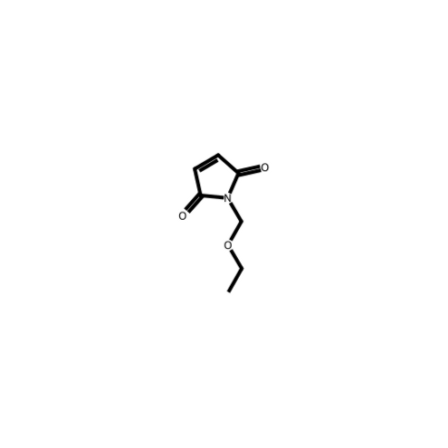 CCOCN1C(=O)C=CC1=O